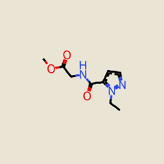 CCn1nccc1C(=O)NCC(=O)OC